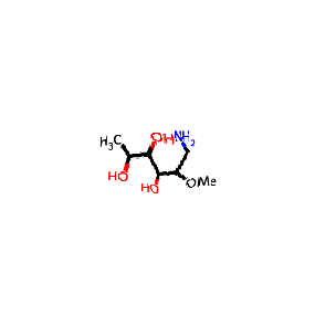 COC(CN)C(O)C(O)C(C)O